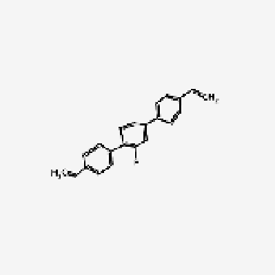 C=Cc1ccc(-c2ccc(-c3ccc(C=C)cc3)c(F)c2)cc1